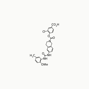 COc1ccc(C)cc1NC(=O)Nc1ccc2c(c1)CCN(C(=O)Oc1ccc(C(=O)O)cc1Cl)C2